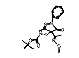 CO/N=C(\C)C1(ONC(=O)OC(C)(C)C)C(=O)N(c2ccccc2)N=C1C